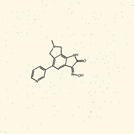 CN1Cc2c(-c3cccnc3)cc3c(c2C1)NC(=O)C3=NO